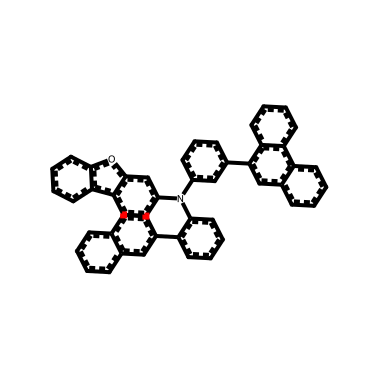 c1cc(-c2cc3ccccc3c3ccccc23)cc(N(c2ccc3c(c2)oc2ccccc23)c2ccccc2-c2ccc3ccccc3c2)c1